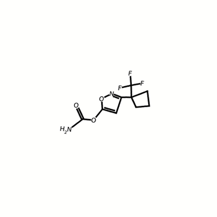 NC(=O)Oc1cc(C2(C(F)(F)F)CCC2)no1